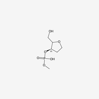 COP(=O)(O)O[C@@H]1CCOC1CO